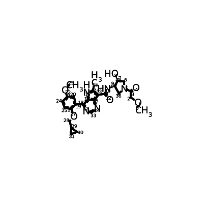 COCC(=O)N1C[C@@H](O)[C@H](NC(=O)c2c(C)[nH]c3c(-c4cc(OC)ccc4OCC4CC4)ncnc23)C1